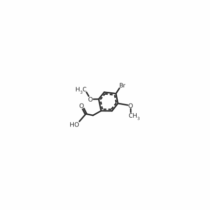 COc1cc(CC(=O)O)c(OC)cc1Br